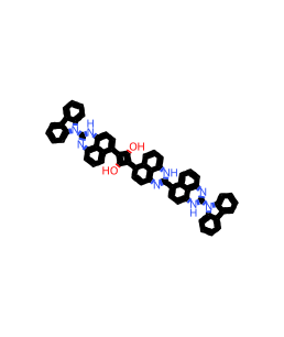 OC1=C(c2ccc3c4c(cccc24)N=C(n2c4ccccc4c4ccccc42)N3)C(O)=C1C1C=CC2=C3C(=CC=CC31)NC(c1ccc3c4c(cccc14)N=C(n1c4ccccc4c4ccccc41)N3)=N2